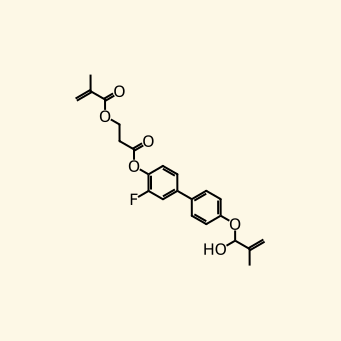 C=C(C)C(=O)OCCC(=O)Oc1ccc(-c2ccc(OC(O)C(=C)C)cc2)cc1F